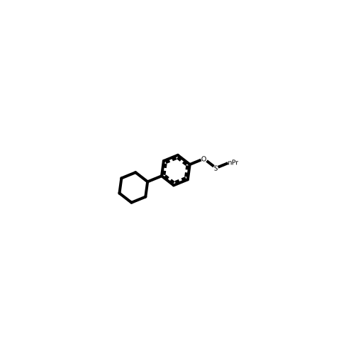 CCCSOc1ccc(C2CCCCC2)cc1